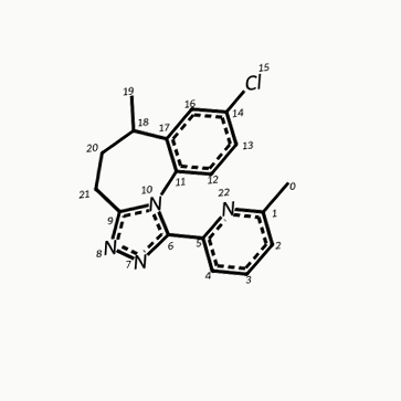 Cc1cccc(-c2nnc3n2-c2ccc(Cl)cc2C(C)CC3)n1